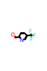 O=Cc1ccc(C(F)(F)F)cn1